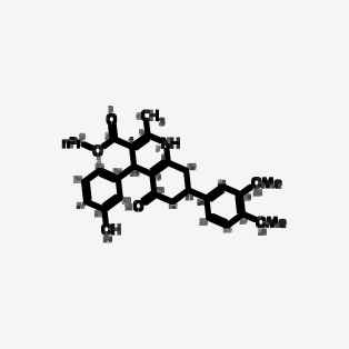 CCCOC(=O)C1=C(C)NC2=C(C(=O)CC(c3ccc(OC)c(OC)c3)C2)C1c1cccc(O)c1